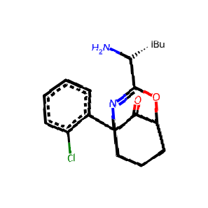 CC[C@@H](C)C(N)C1=NC2(c3ccccc3Cl)CCCC(O1)C2=O